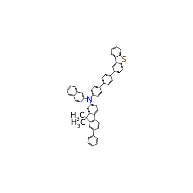 CC1(C)c2cc(-c3ccccc3)ccc2-c2ccc(N(c3ccc(-c4ccc(-c5ccc6sc7ccccc7c6c5)cc4)cc3)c3ccc4ccccc4c3)cc21